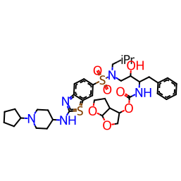 CC(C)CN(CC(O)C(Cc1ccccc1)NC(=O)OC1COC2OCCC12)S(=O)(=O)c1ccc2nc(NC3CCN(C4CCCC4)CC3)sc2c1